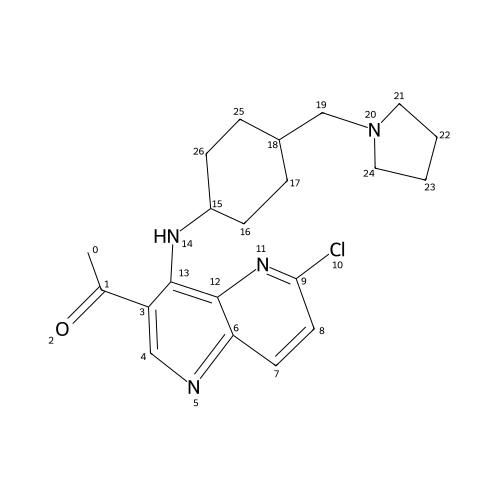 CC(=O)c1cnc2ccc(Cl)nc2c1NC1CCC(CN2CCCC2)CC1